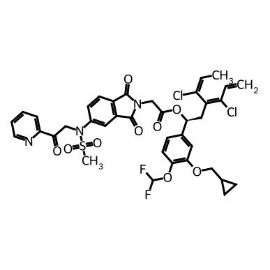 C=C/C(Cl)=C(C[C@H](OC(=O)CN1C(=O)c2ccc(N(CC(=O)c3ccccn3)S(C)(=O)=O)cc2C1=O)c1ccc(OC(F)F)c(OCC2CC2)c1)\C(Cl)=C/C